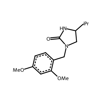 COc1ccc(CN2CC(C(C)C)NC2=O)c(OC)c1